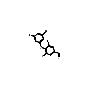 O=Cc1cc(F)c(Oc2cc(F)cc(F)c2)c(F)c1